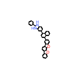 c1ccc(C2Nc3ccc(-c4ccc(-c5ccc6oc7c(ccc8c9ccccc9oc87)c6c5)c5ccccc45)cc3N2)cc1